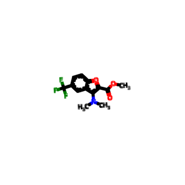 COC(=O)c1oc2ccc(C(F)(F)F)cc2c1N(C)C